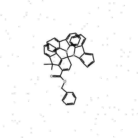 CC1(C)C2=C(c3ccccc31)C(n1c3ccccc3c3ccccc31)(n1c3ccccc3c3ccccc31)CC=C2C(=O)OCc1ccccc1